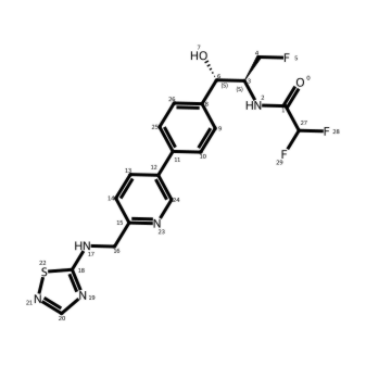 O=C(N[C@H](CF)[C@@H](O)c1ccc(-c2ccc(CNc3ncns3)nc2)cc1)C(F)F